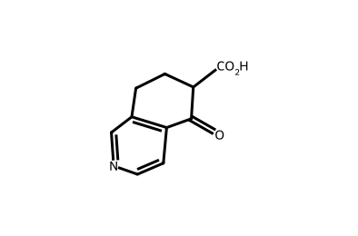 O=C(O)C1CCc2cnccc2C1=O